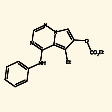 CCOC(=O)Oc1cn2ncnc(Nc3ccccc3)c2c1CC